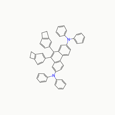 c1ccc(N(c2ccccc2)c2ccc3c(c2)c(-c2ccc4c(c2)CC4)c(-c2ccc4c(c2)CC4)c2cc(N(c4ccccc4)c4ccccc4)ccc23)cc1